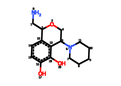 NCC1OCC(N2CCCCC2)c2c1ccc(O)c2O